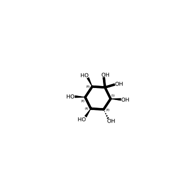 O[C@H]1[C@@H](O)[C@@H](O)C(O)(O)[C@@H](O)[C@@H]1O